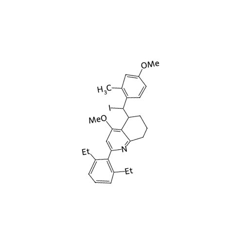 CCc1cccc(CC)c1-c1cc(OC)c2c(n1)CCCC2C(I)c1ccc(OC)cc1C